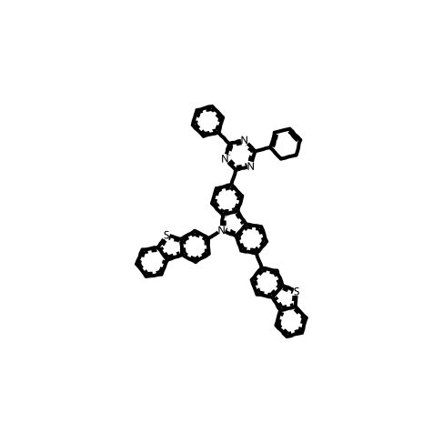 C1=CCCC(c2nc(-c3ccccc3)nc(-c3ccc4c(c3)c3ccc(-c5ccc6c(c5)sc5ccccc56)cc3n4-c3ccc4c(c3)sc3ccccc34)n2)=C1